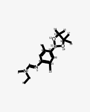 CCN(C)C=Nc1cc(C)c(B2OC(C)(C)C(C)(C)O2)cc1C